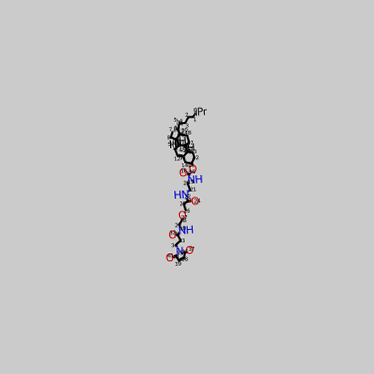 CC(C)CCC[C@@H](C)[C@H]1CC[C@H]2[C@@H]3CC=C4C[C@@H](OC(=O)NCCNC(=O)CCOCCNC(=O)CCN5C(=O)C=CC5=O)CC[C@]4(C)[C@H]3CC[C@]12C